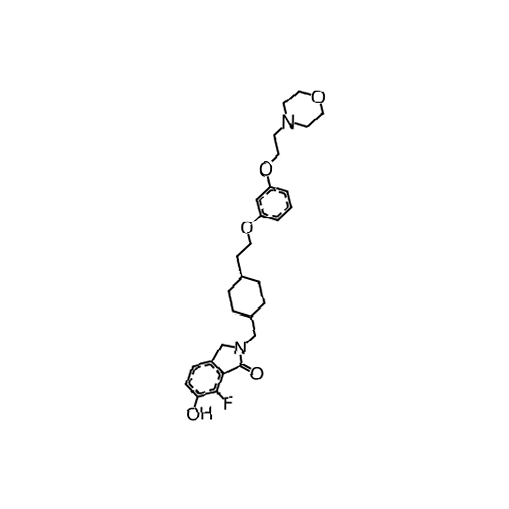 O=C1c2c(ccc(O)c2F)CN1CC1CCC(CCOc2cccc(OCCN3CCOCC3)c2)CC1